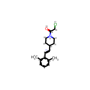 Cc1cccc(C)c1/C=C/C1CCN(C(=O)CCl)CC1